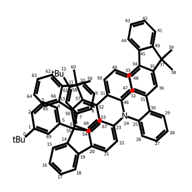 CC(C)(C)c1cccc(C2(c3cccc(C(C)(C)C)c3)c3ccccc3-c3ccc(N(c4ccccc4-c4ccc5c(c4)C(C)(C)c4ccccc4-5)c4ccccc4-c4cccc5c4C(C)(C)c4ccccc4-5)cc32)c1